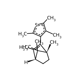 CC1=C(c2c(C)sc(C)c2C)[C@]2(C)CC[C@H]1C2(C)C